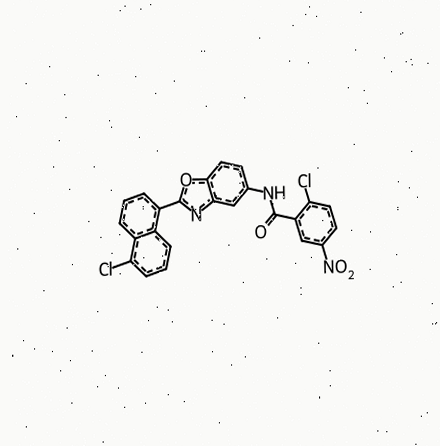 O=C(Nc1ccc2oc(-c3cccc4c(Cl)cccc34)nc2c1)c1cc([N+](=O)[O-])ccc1Cl